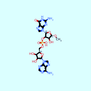 CO[C@H]1O[C@@H](n2cnc3c(=O)[nH]c(N)nc32)C(OP(=O)(O)OC[C@H]2O[C@@H](n3cnc4c(N)ncnc43)C(O)C2O)C1O